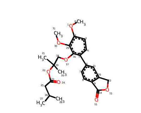 COc1ccc(-c2ccc3c(c2)COC3=O)c(OCC(C)(C)OC(=O)CC(C)C)c1OC